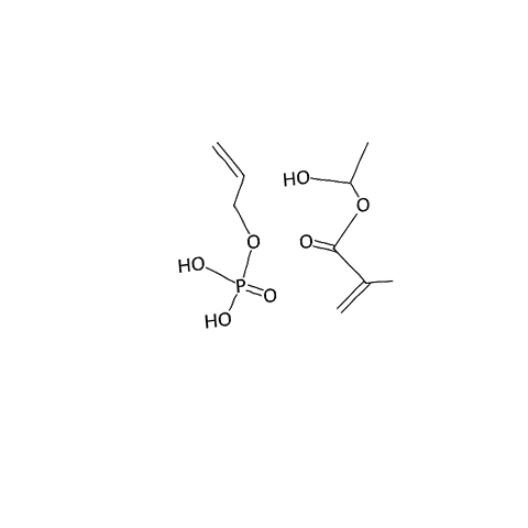 C=C(C)C(=O)OC(C)O.C=CCOP(=O)(O)O